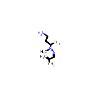 C=C(C)/C=N\N(C)C(C)CCN